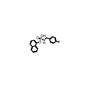 O=P(O)(NCc1ccc(F)cc1)Oc1cccc2ccccc12